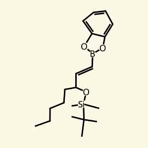 CCCCCC(/C=C/B1Oc2ccccc2O1)O[Si](C)(C)C(C)(C)C